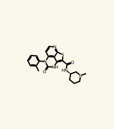 Cc1ccccc1N1C(=O)Nc2c(C(=O)N[C@@H]3CCCN(C)C3)sc3nccc1c23